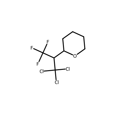 FC(F)(F)C(C1CCCCO1)C(Cl)(Cl)Cl